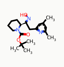 Cc1cc(C)nc(CC(=NO)[C@@H]2CCCCN2C(=O)OC(C)(C)C)c1